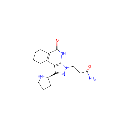 NC(=O)CCn1nc([C@H]2CCCN2)c2c3c(c(=O)[nH]c21)CCCC3